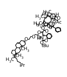 CC(=O)O[C@@]12CO[C@@H]1C[C@H](C)[C@@]1(C)C(=O)[C@H](C)C3=C(C)[C@@H](OC(=O)[C@H](OC(=O)COCCO[C@H]4CC[C@@]5(C)C(=CCC6C5CC[C@@]5(C)C6CC[C@@H]5[C@H](C)CCCC(C)C)C4)[C@@H](NC(=O)OC(C)(C)C)c4ccccc4)C[C@@](O)([C@@H](OC(=O)c4ccccc4)[C@H]21)C3(C)C